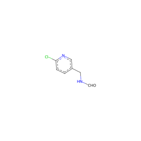 O=CNCc1ccc(Cl)nc1